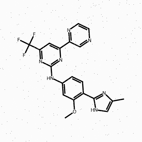 COc1cc(Nc2nc(-c3cnccn3)cc(C(F)(F)F)n2)ccc1-c1nc(C)c[nH]1